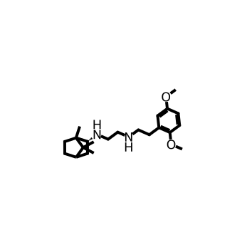 COc1ccc(OC)c(CCNCCN[C@@H]2CC3CCC2(C)C3(C)C)c1